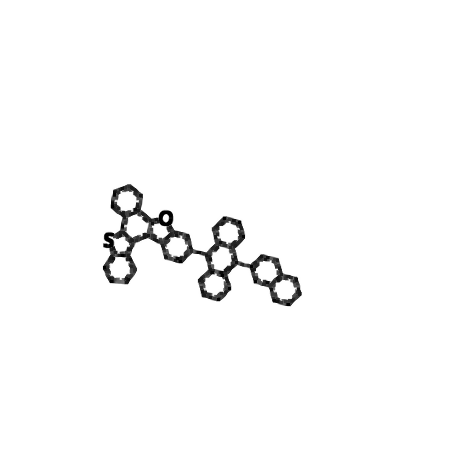 c1ccc2cc(-c3c4ccccc4c(-c4ccc5c(c4)oc4c6ccccc6c6sc7ccccc7c6c54)c4ccccc34)ccc2c1